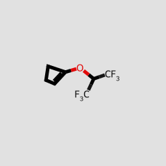 FC(F)(F)C(OC1=CCC1)C(F)(F)F